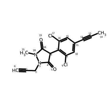 C#CCN1C(=O)C(c2c(Cl)cc(C#CC)cc2Cl)C(=O)N1C